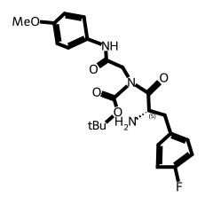 COc1ccc(NC(=O)CN(C(=O)OC(C)(C)C)C(=O)[C@@H](N)Cc2ccc(F)cc2)cc1